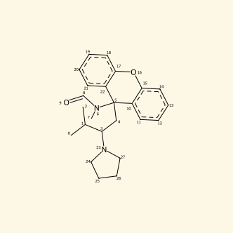 CC(C)C(CC1(N(C)C=O)c2ccccc2Oc2ccccc21)N1CCCC1